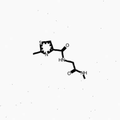 CNC(=O)CNC(=O)c1csc(C)n1